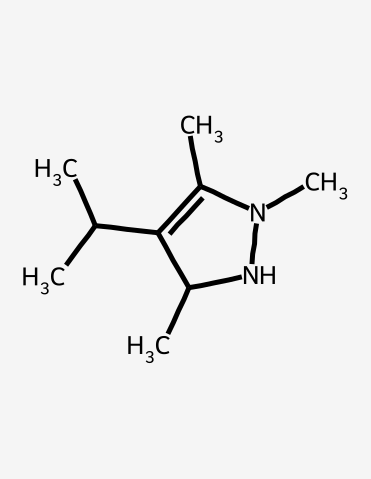 CC1=C(C(C)C)C(C)NN1C